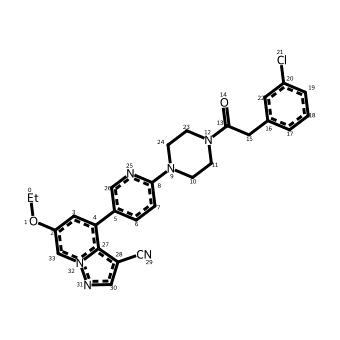 CCOc1cc(-c2ccc(N3CCN(C(=O)Cc4cccc(Cl)c4)CC3)nc2)c2c(C#N)cnn2c1